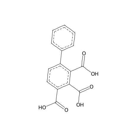 O=C(O)c1ccc(-c2ccccc2)c(C(=O)O)c1C(=O)O